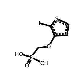 O=P(O)(O)COc1ccsc1I